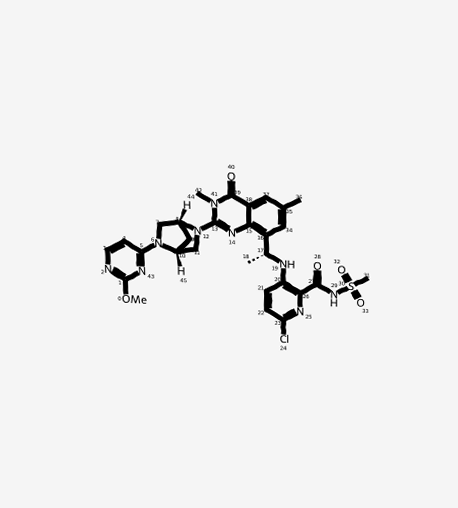 COc1nccc(N2C[C@H]3C[C@@H]2CN3c2nc3c([C@@H](C)Nc4ccc(Cl)nc4C(=O)NS(C)(=O)=O)cc(C)cc3c(=O)n2C)n1